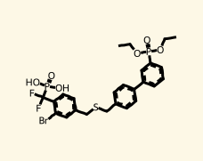 CCOP(=O)(OCC)c1cccc(-c2ccc(CSCc3ccc(C(F)(F)P(=O)(O)O)c(Br)c3)cc2)c1